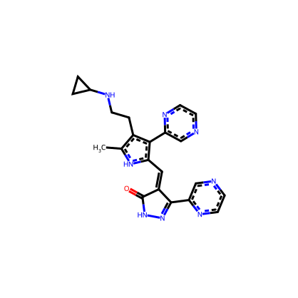 Cc1[nH]c(C=C2C(=O)NN=C2c2cnccn2)c(-c2cnccn2)c1CCNC1CC1